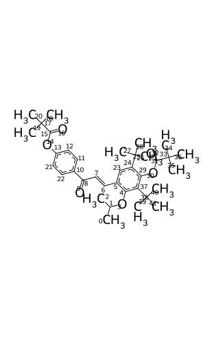 CC(C)Oc1c(C=CC(=O)c2ccc(OC(=O)C(C)(C)C)cc2)cc(C(C)(C)C)c(OC(=O)C(C)(C)C)c1C(C)(C)C